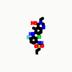 CCCS(=O)(=O)Nc1ccc(F)c(Nc2ccc3c(c2C)C(O)N(CC)C=N3)c1Cl